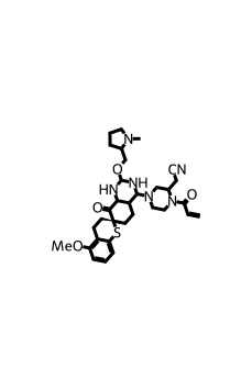 C=CC(=O)N1CCN(C2NC(OCC3CCCN3C)NC3C(=O)[C@]4(CCc5c(OC)cccc5S4)CCC32)CC1CC#N